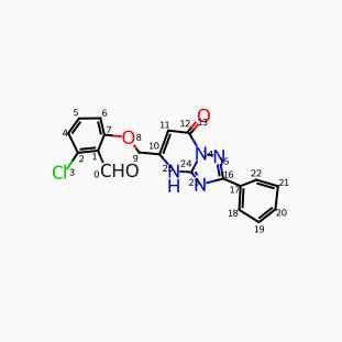 O=Cc1c(Cl)cccc1OCc1cc(=O)n2nc(-c3ccccc3)nc2[nH]1